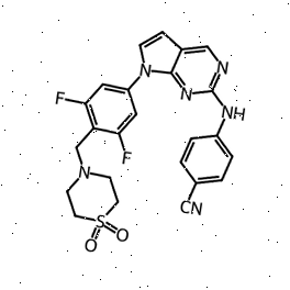 N#Cc1ccc(Nc2ncc3ccn(-c4cc(F)c(CN5CCS(=O)(=O)CC5)c(F)c4)c3n2)cc1